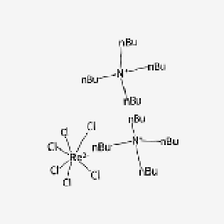 CCCC[N+](CCCC)(CCCC)CCCC.CCCC[N+](CCCC)(CCCC)CCCC.[Cl][Re-2]([Cl])([Cl])([Cl])([Cl])[Cl]